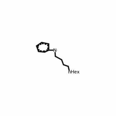 CCCCCCCCCC[N]c1ccccc1